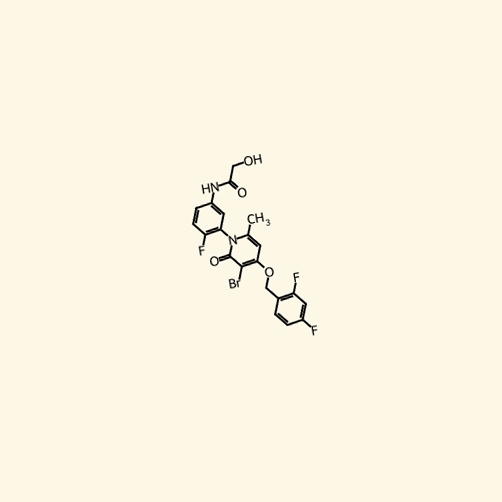 Cc1cc(OCc2ccc(F)cc2F)c(Br)c(=O)n1-c1cc(NC(=O)CO)ccc1F